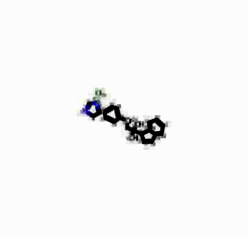 C1=NC=NC1.CC(C)([CH2][Cr+2][c]1ccccc1)C1C=Cc2ccccc21.[Cl-].[Cl-]